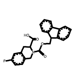 O=C(O)C1Cc2cc(F)ccc2CN1C(=O)OCC1c2ccccc2-c2ccccc21